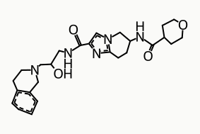 O=C(NCC(O)CN1CCc2ccccc2C1)c1cn2c(n1)CCC(NC(=O)C1CCOCC1)C2